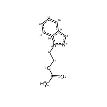 CC(=O)OCCn1ncc2ccccc21